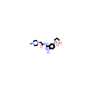 CN1CCN(CC(=O)Nc2n[nH]c3ccc(N4CCCS4(=O)=O)cc23)CC1